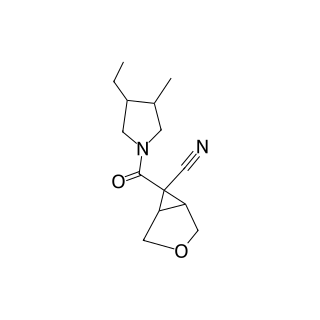 CCC1CN(C(=O)C2(C#N)C3COCC32)CC1C